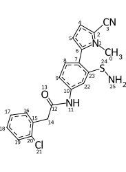 Cn1c(C#N)ccc1-c1ccc(NC(=O)Cc2ccccc2Cl)cc1SN